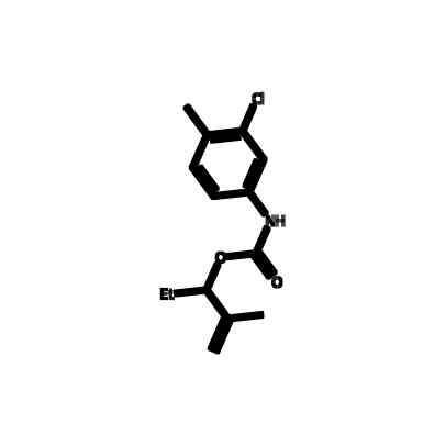 [CH2]CC(OC(=O)Nc1ccc(C)c(Cl)c1)C(=C)C